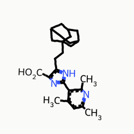 Cc1cc(C)c(-c2nc(C(=O)O)c(CCC34CC5CC(CC(C5)C3)C4)[nH]2)c(C)n1